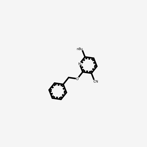 CCCCc1ccc(C#N)c(OCc2ccccc2)n1